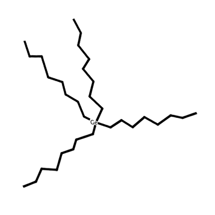 CCCCCCC[CH2][Ge]([CH2]CCCCCCC)([CH2]CCCCCCC)[CH2]CCCCCCC